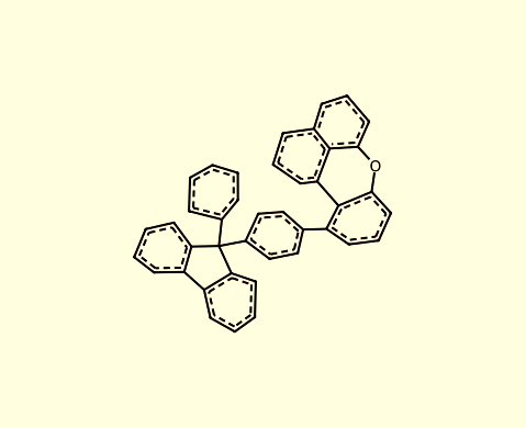 c1ccc(C2(c3ccc(-c4cccc5c4-c4cccc6cccc(c46)O5)cc3)c3ccccc3-c3ccccc32)cc1